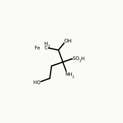 CC(O)C(N)(CCO)S(=O)(=O)O.[Fe]